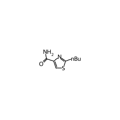 CCCCc1nc(C(N)=O)cs1